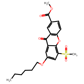 CCCCCCOc1cc(S(C)(=O)=O)c2oc3ccc(C(=O)OC)cc3c(=O)c2c1